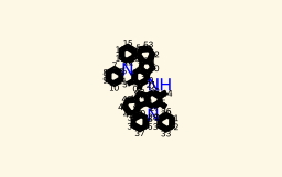 Cc1c(C)c(N(c2ccccc2)c2ccccc2)c2c(c1Nc1c(C)c(C)c(N(c3ccccc3)c3ccccc3)c3c1Cc1ccccc1-3)Cc1ccccc1-2